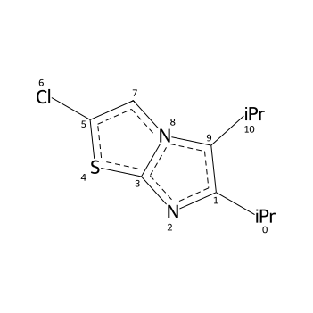 CC(C)c1nc2sc(Cl)cn2c1C(C)C